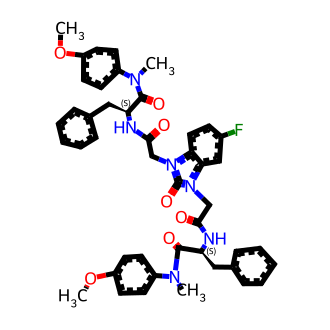 COc1ccc(N(C)C(=O)[C@H](Cc2ccccc2)NC(=O)Cn2c(=O)n(CC(=O)N[C@@H](Cc3ccccc3)C(=O)N(C)c3ccc(OC)cc3)c3cc(F)ccc32)cc1